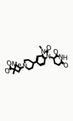 COC(=O)C1(C)CC(N2CCC(c3ccc4c(c3)n(C)c(=O)n4C3CCC(=O)NC3=O)CC2)C1